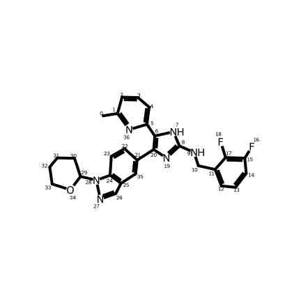 Cc1cccc(-c2[nH]c(NCc3cccc(F)c3F)nc2-c2ccc3c(cnn3C3CCCCO3)c2)n1